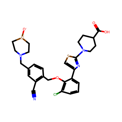 N#Cc1cc(CN2CC[S+]([O-])CC2)ccc1COc1c(Cl)cccc1-c1csc(N2CCC(C(=O)O)CC2)n1